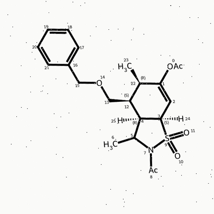 CC(=O)OC1=C[C@@H]2[C@@H](C(C)N(C(C)=O)S2(=O)=O)[C@@H](COCc2ccccc2)[C@H]1C